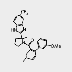 COc1cccc(-c2ccc(C)cc2C(=O)N2CCCC2(C)c2nc3cc(C(F)(F)F)ccc3[nH]2)c1